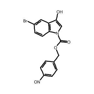 O=Nc1ccc(COC(=O)n2cc(O)c3cc(Br)ccc32)cc1